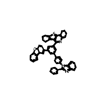 C1=CC2Oc3ccccc3C2C=C1c1cc(-c2ccc(-n3c(-c4ccccc4)nc4ccccc43)cc2)cc(-c2nc3ccccc3c3sc4ccccc4c23)c1